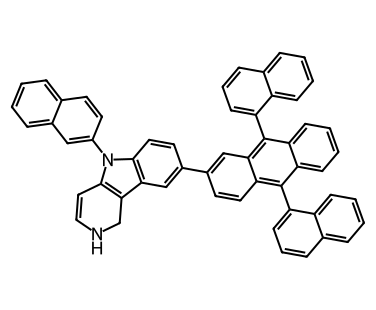 C1=Cc2c(c3cc(-c4ccc5c(-c6cccc7ccccc67)c6ccccc6c(-c6cccc7ccccc67)c5c4)ccc3n2-c2ccc3ccccc3c2)CN1